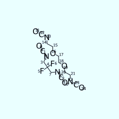 O=C=NCC(F)(F)CN=C=O.O=C=NCCOCCOCCN=C=O